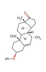 CCCO[C@H]1CC[C@@]2(C=O)C(=C[C@@H](C)[C@@H]3[C@@H]2CC[C@]2(C)C(=O)CC[C@@H]32)C1